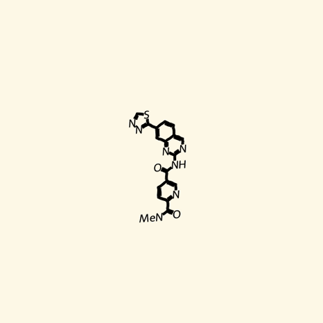 CNC(=O)c1ccc(C(=O)Nc2ncc3ccc(-c4nncs4)cc3n2)cn1